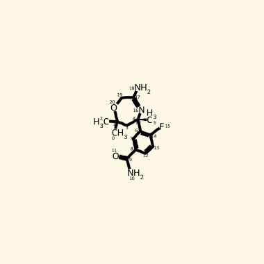 CC1(C)C[C@@](C)(c2cc(C(N)=O)ccc2F)N=C(N)CO1